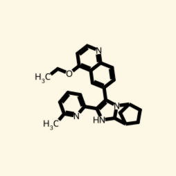 CCOc1ccnc2ccc(C3=C(c4cccc(C)n4)NC4C5CCC(C5)N34)cc12